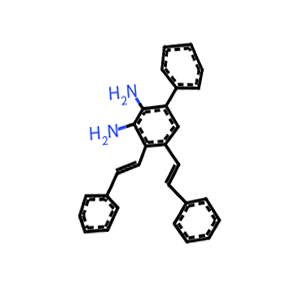 Nc1c(-c2ccccc2)cc(C=Cc2ccccc2)c(C=Cc2ccccc2)c1N